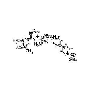 CC(=O)N1[C@H](C)CN(c2cc(-n3nc(Nc4ccc(N5CCN(C(=O)OCC(C)C)CC5)cc4)nc3N)ccn2)C[C@@H]1C